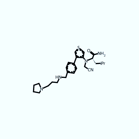 CC(C)C[C@@H](C(N)=O)N(CC#N)c1cscc1-c1ccc(CNCCCN2CCCC2)cc1